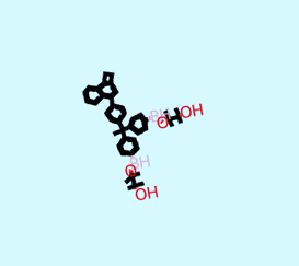 CC(c1ccc(BOC(C)(C)C(C)(C)O)cc1)(c1ccc(BOC(C)(C)C(C)(C)O)cc1)c1ccc(-c2cc3c(c4ccccc24)CC3)cc1